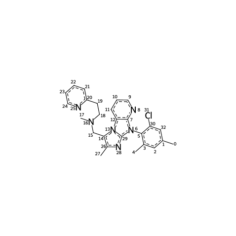 Cc1cc(C)c(-n2c3ncccc3n3c(CN(C)CCc4ccccn4)c(C)nc23)c(Cl)c1